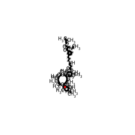 CC[C@@H]1OC(=O)[C@H](C)[C@H](O[C@@H]2C[C@](C)(OC)[C@H](OC(=O)CCNCCCc3ccc4c(c3)c(=O)c(C(=O)OCC(C)C)cn4CC)[C@H](C)O2)[C@@H](C)[C@H](O[C@@H]2O[C@H](C)C[C@H](N(C)C)[C@@H]2O)[C@](C)(OC)C[C@H](C)C(=O)[C@H](C)[C@@H](O)[C@]1(C)O